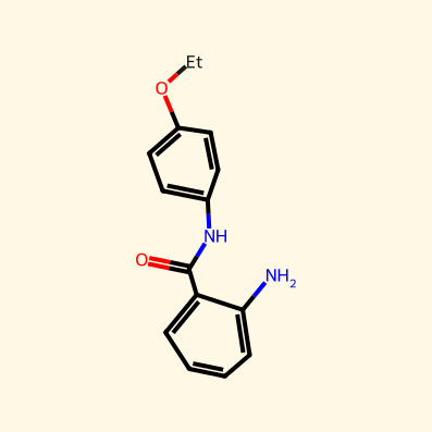 CCOc1ccc(NC(=O)c2ccccc2N)cc1